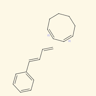 C1=C\CCCC\C=C/1.C=CC=Cc1ccccc1